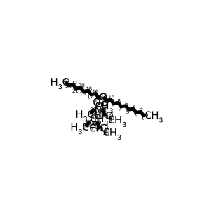 CCCCCCCCCCCC(=O)OC(=O)CCCCCCCCC.CC[N+](C)(C)CCOC.CC[N+](C)(C)CCOC